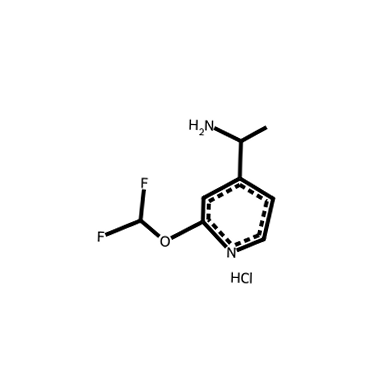 CC(N)c1ccnc(OC(F)F)c1.Cl